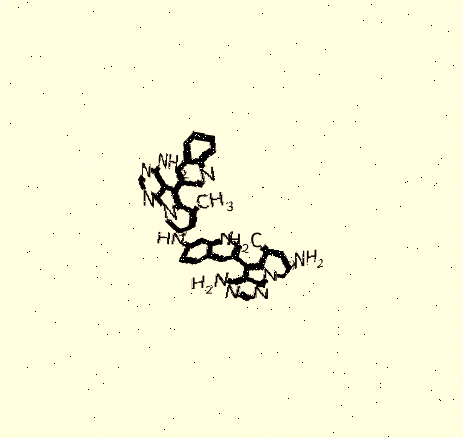 C=C1C[C@H](N)Cn2c1c(-c1cnc3cc(N[C@H]4C=C(C)c5c(-c6cnc7ccccc7c6)c6c(N)ncnc6n5C4)ccc3c1)c1c(N)ncnc12